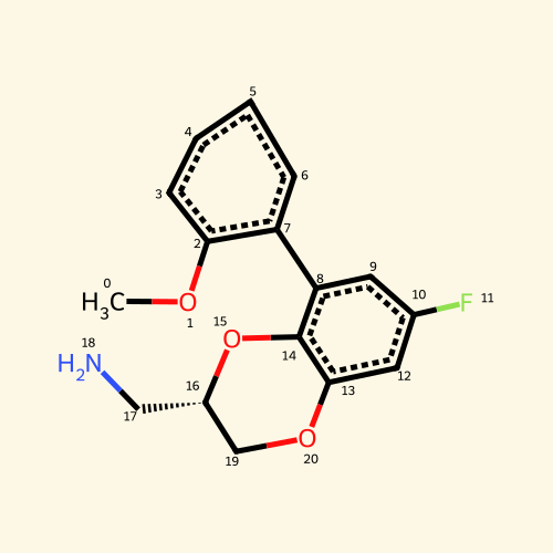 COc1ccccc1-c1cc(F)cc2c1O[C@@H](CN)CO2